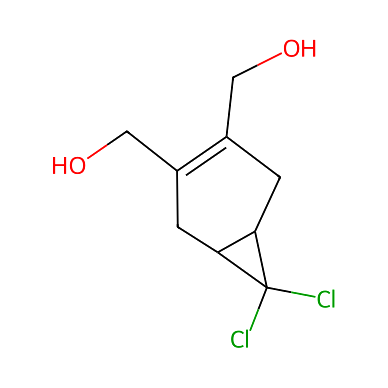 OCC1=C(CO)CC2C(C1)C2(Cl)Cl